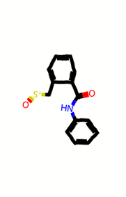 O=[S+]Cc1ccccc1C(=O)Nc1ccccc1